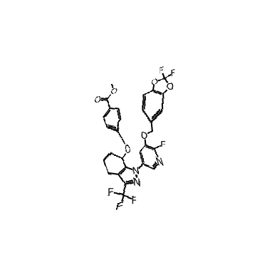 COC(=O)c1ccc(OC2CCCc3c(C(F)(F)F)nn(-c4cnc(F)c(OCc5ccc6c(c5)OC(F)(F)O6)c4)c32)cc1